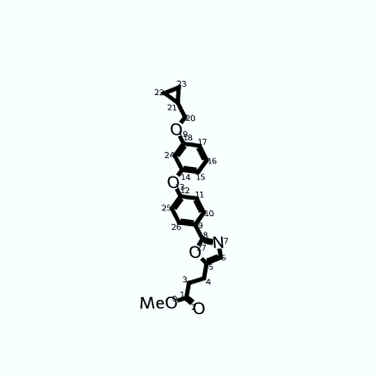 COC(=O)CCc1cnc(-c2ccc(Oc3cccc(OCC4CC4)c3)cc2)o1